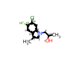 Cc1cn(CC(C)O)c2cc(Cl)c(F)cc12